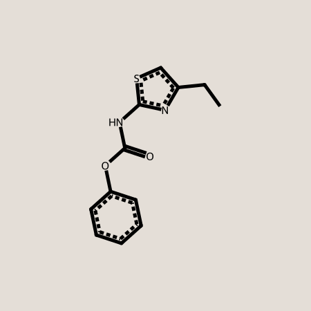 CCc1csc(NC(=O)Oc2ccccc2)n1